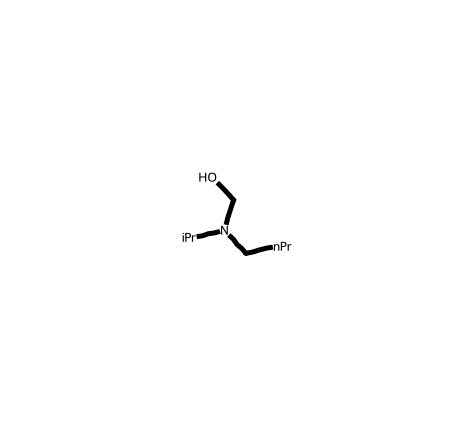 CCCCN(CO)C(C)C